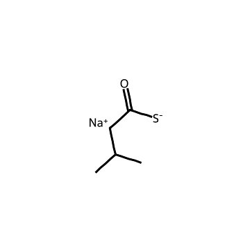 CC(C)CC(=O)[S-].[Na+]